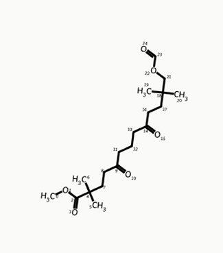 COC(=O)C(C)(C)CCC(=O)CCCC(=O)CCC(C)(C)COC=O